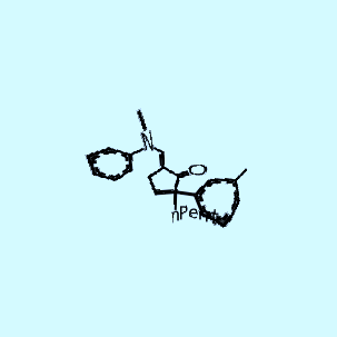 CCCCCC1(c2cccc(C)c2)CCC(=CN(C)c2ccccc2)C1=O